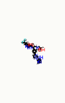 C[C@@H](O)CN1CC[C@@H](NC(=O)c2nnc(C(C)(C)C(F)F)o2)c2ccc(-c3ccnc(Nc4cnn(C)c4)n3)cc2C1